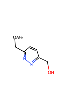 COCc1ccc(CO)nn1